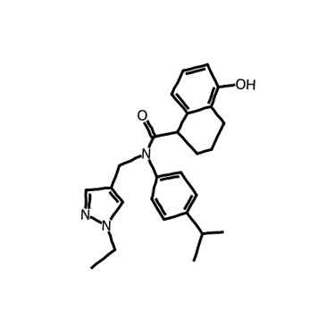 CCn1cc(CN(C(=O)C2CCCc3c(O)cccc32)c2ccc(C(C)C)cc2)cn1